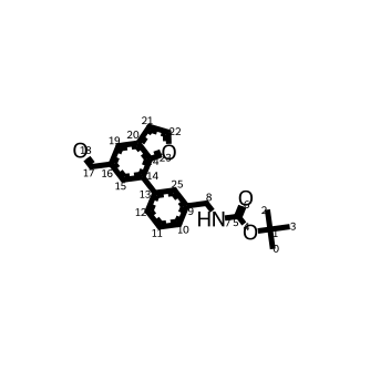 CC(C)(C)OC(=O)NCc1cccc(-c2cc(C=O)cc3ccoc23)c1